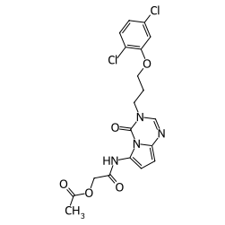 CC(=O)OCC(=O)Nc1ccc2ncn(CCCOc3cc(Cl)ccc3Cl)c(=O)n12